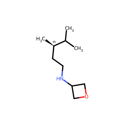 CC(C)[C@H](C)CCNC1COC1